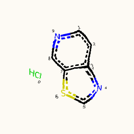 Cl.c1cc2ncsc2cn1